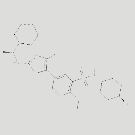 COc1ccc(-c2sc(N[C@@H](C)C3CCCCC3)nc2C)cc1S(=O)(=O)N[C@H]1CC[C@H](O)CC1